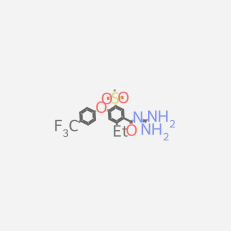 CCc1cc(Oc2ccc(C(F)(F)F)cc2)c(S(C)(=O)=O)cc1C(=O)N=C(N)N